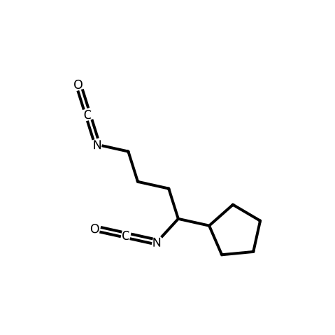 O=C=NCCCC(N=C=O)C1CCCC1